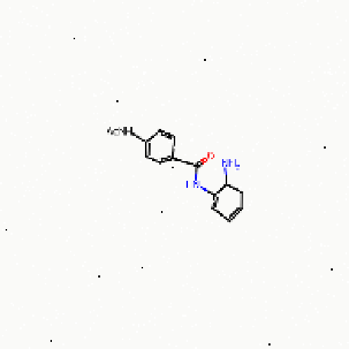 CC(=O)Nc1ccc(C(=O)NC2=CC=CCC2N)cc1